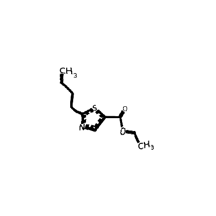 CCCCc1ncc(C(=O)OCC)s1